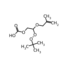 C=C(C)COC(COC(=O)O)OOC(C)(C)C